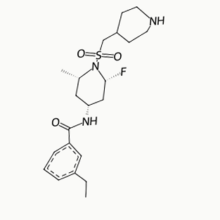 CCc1cccc(C(=O)N[C@H]2C[C@@H](F)N(S(=O)(=O)CC3CCNCC3)[C@@H](C)C2)c1